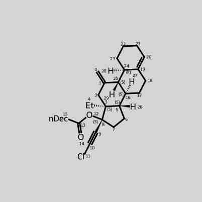 C=C1C[C@@]2(CC)[C@@H](CC[C@]2(C#CCl)OC(=O)CCCCCCCCCC)[C@@H]2CCC3=CCCC[C@@H]3[C@@H]12